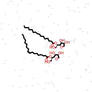 CCCCCCCC/C=C\CCCCCCCC(=O)O[C@H](CO)[C@H]1OC[C@H](O)[C@H]1O.CCCCCCCCCCCCCCCC(=O)O[C@H](CO)[C@H]1OC[C@H](O)[C@H]1O